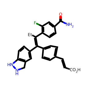 CC/C(=C(/c1ccc(/C=C/C(=O)O)cc1)c1ccc2c(c1)CNN2)c1ccc(C(N)=O)cc1F